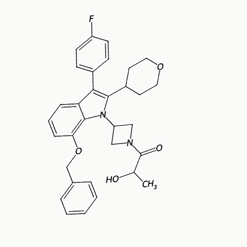 CC(O)C(=O)N1CC(n2c(C3CCOCC3)c(-c3ccc(F)cc3)c3cccc(OCc4ccccc4)c32)C1